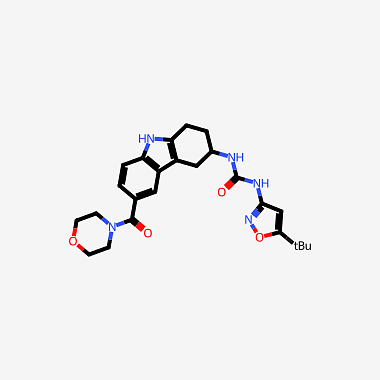 CC(C)(C)c1cc(NC(=O)NC2CCc3[nH]c4ccc(C(=O)N5CCOCC5)cc4c3C2)no1